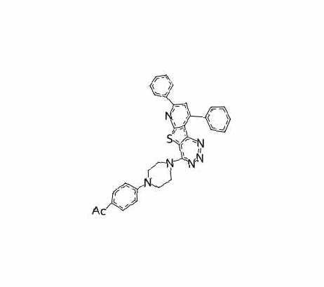 CC(=O)c1ccc(N2CCN(c3nnnc4c3sc3nc(-c5ccccc5)cc(-c5ccccc5)c34)CC2)cc1